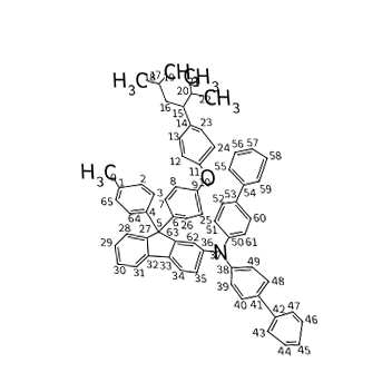 Cc1ccc(C2(c3ccc(Oc4ccc(C(CC(C)C)C(C)C)cc4)cc3)c3ccccc3-c3ccc(N(c4ccc(-c5ccccc5)cc4)c4ccc(-c5ccccc5)cc4)cc32)cc1